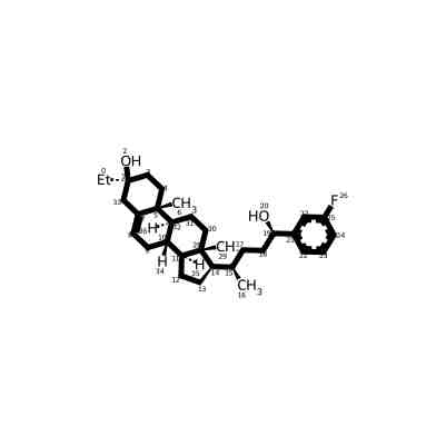 CC[C@]1(O)CC[C@@]2(C)C(=CC[C@H]3[C@@H]4CC[C@H]([C@H](C)CC[C@@H](O)c5cccc(F)c5)[C@@]4(C)CC[C@@H]32)C1